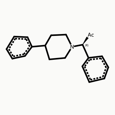 CC(=O)[C@@H](c1ccccc1)N1CCC(c2ccccc2)CC1